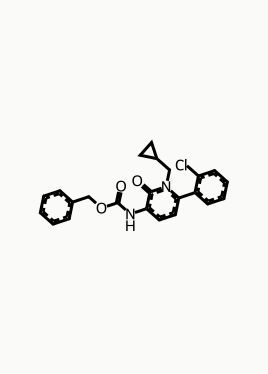 O=C(Nc1ccc(-c2ccccc2Cl)n(CC2CC2)c1=O)OCc1ccccc1